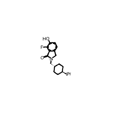 CC(C)[C@H]1CC[C@H](CN2Cc3ccc(O)c(F)c3C2=O)CC1